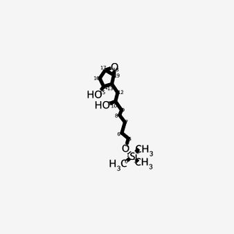 C[Si](C)(C)OCCCCCC(O)CC1C(O)CC2OC21